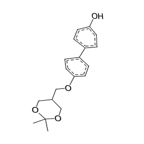 CC1(C)OCC(COc2ccc(-c3ccc(O)cc3)cc2)CO1